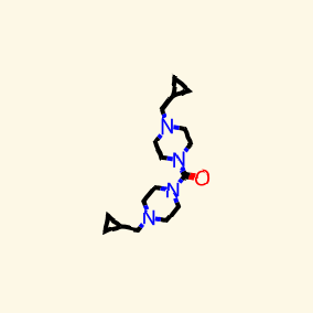 O=C(N1CCN(CC2CC2)CC1)N1CCN(CC2CC2)CC1